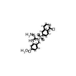 COc1ccc(CN(C(=N)SN)S(=O)(=O)c2ccc3c(Cl)nccc3c2)cc1